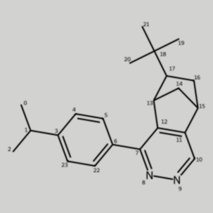 CC(C)c1ccc(-c2nncc3c2C2CC3CC2C(C)(C)C)cc1